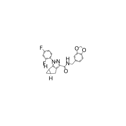 O=C(NCc1ccc2c(c1)OCO2)c1nn(-c2ccc(F)cc2F)c2c1C[C@H]1C[C@@H]21